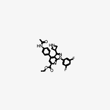 CCOC(=O)c1cc(-c2ccc(NC(C)=O)cc2)c2c(C3CNC3)nn(-c3cc(F)cc(F)c3)c2n1